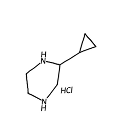 C1CNC(C2CC2)CN1.Cl